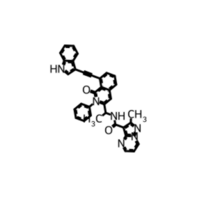 Cc1nn2cccnc2c1C(=O)NC(C)c1cc2cccc(C#Cc3c[nH]c4ccccc34)c2c(=O)n1-c1ccccc1